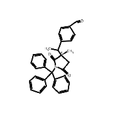 CC(c1ccc(C=O)cc1)[C@]1(C)CC(=O)N(C(c2ccccc2)(c2ccccc2)c2ccccc2)C1=O